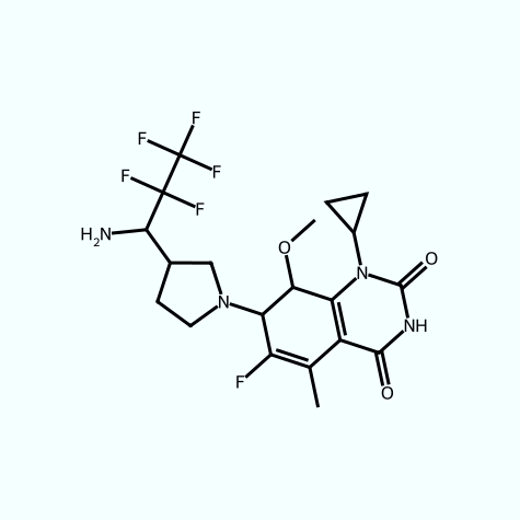 COC1c2c(c(=O)[nH]c(=O)n2C2CC2)C(C)=C(F)C1N1CCC(C(N)C(F)(F)C(F)(F)F)C1